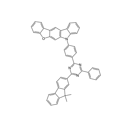 CC1(C)c2ccccc2-c2ccc(-c3nc(-c4ccccc4)nc(-c4ccc(-n5c6ccccc6c6cc7c(cc65)oc5ccccc57)cc4)n3)cc21